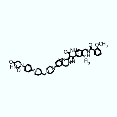 COc1ccccc1C(=O)NCc1ccc(-c2nn3c(c2C(N)=O)Nc2ccc(N4CCN(CC5CCN(c6ccc(N7CCC(=O)NC7=O)cc6)CC5)CC4)cc2CC3)cc1C